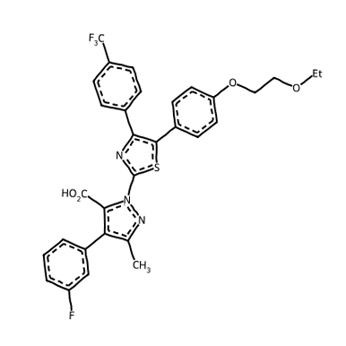 CCOCCOc1ccc(-c2sc(-n3nc(C)c(-c4cccc(F)c4)c3C(=O)O)nc2-c2ccc(C(F)(F)F)cc2)cc1